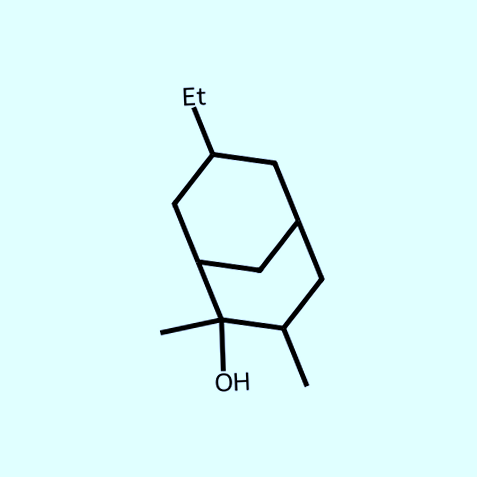 CCC1CC2CC(C)C(C)(O)C(C1)C2